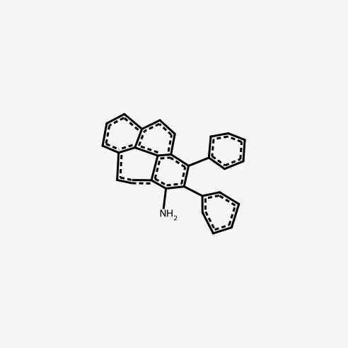 Nc1c(-c2ccccc2)c(-c2ccccc2)c2ccc3cccc4ccc1c2c43